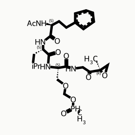 CC(=O)N[C@@H](CCc1ccccc1)C(=O)N[C@@H](CC(C)C)C(=O)N[C@@H](COCO[PH](C)=O)C(=O)NCC(=O)[C@@]1(C)CO1